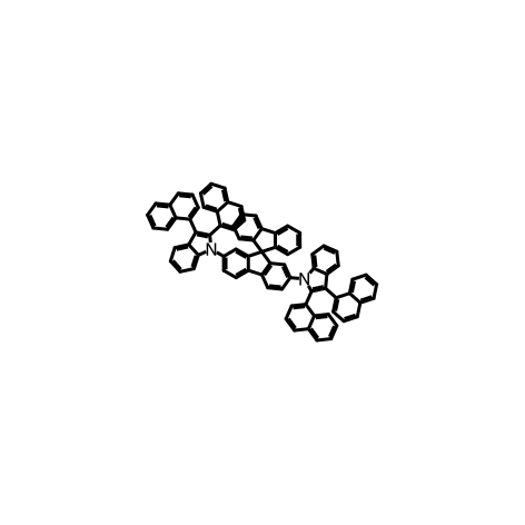 c1ccc2c(c1)-c1ccccc1C21c2cc(-n3c(-c4cccc5ccccc45)c(-c4cccc5ccccc45)c4ccccc43)ccc2-c2ccc(-n3c(-c4cccc5ccccc45)c(-c4cccc5ccccc45)c4ccccc43)cc21